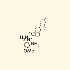 COc1ccc(N(N)CC(=O)C2CCC3C4CCC5CC(C)CCC5C4CCC23C)c(N)c1